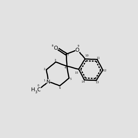 CN1CCC2(CC1)C(=O)Oc1ccccc12